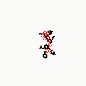 CCC[C@H](CCOc1ccc(CC(C)C)c(OCc2ccccc2)c1CO[Si](C)(C)C(C)(C)C)C(=O)C[C@@H](O[Si](C)(C)C(C)(C)C)C1(C(=O)OCC)O[C@H]1CC